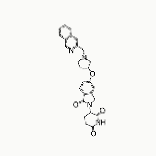 O=C1CCC(N2Cc3cc(O[C@H]4CCN(Cc5cc6ccccc6cn5)C4)ccc3C2=O)C(=O)N1